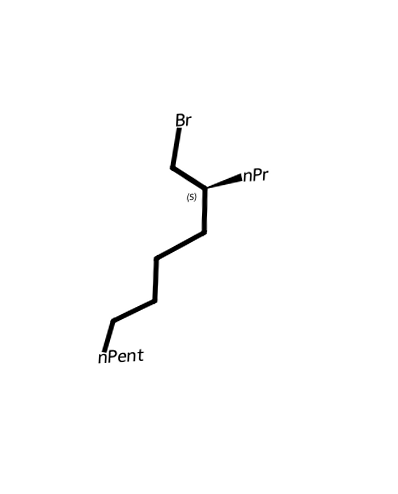 CCCCCCCCC[C@@H](CBr)CCC